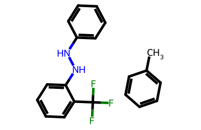 Cc1ccccc1.FC(F)(F)c1ccccc1NNc1ccccc1